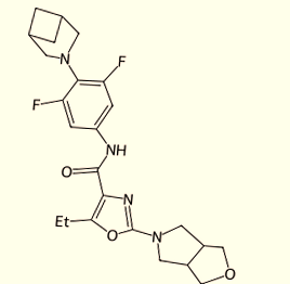 CCc1oc(N2CC3COCC3C2)nc1C(=O)Nc1cc(F)c(N2CC3CC(C3)C2)c(F)c1